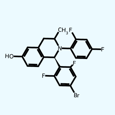 CC1Cc2cc(O)ccc2[C@H](c2c(F)cc(Br)cc2F)N1c1ccc(F)cc1F